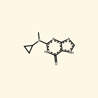 CN(c1nc2nc[nH]c2c(=O)[nH]1)C1CC1